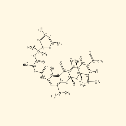 CN(C)c1cc(NC(=O)CN(C(=O)OC(C)(C(=O)O)c2cc(C(F)(F)F)cc(C(F)(F)F)c2)C(C)(C)C)c(O)c2c1C[C@H]1C[C@H]3[C@H](N(C)C)C(O)=C(C(N)=O)C(=O)[C@@]3(O)C(O)=C1C2=O